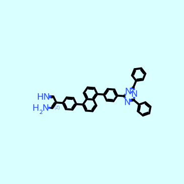 N=C/C(=C\N)c1ccc(-c2cccc3c(-c4ccc(C5N=C(c6ccccc6)N6C(c7ccccc7)N56)cc4)cccc23)cc1